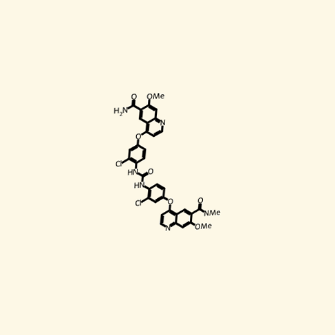 CNC(=O)c1cc2c(Oc3ccc(NC(=O)Nc4ccc(Oc5ccnc6cc(OC)c(C(N)=O)cc56)cc4Cl)c(Cl)c3)ccnc2cc1OC